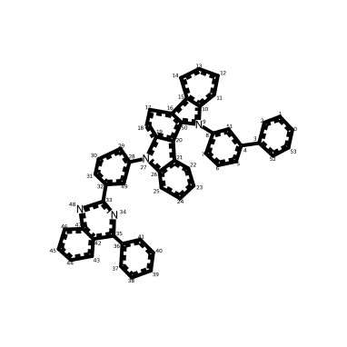 c1ccc(-c2cccc(-n3c4ccccc4c4ccc5c(c6ccccc6n5-c5cccc(-c6nc(-c7ccccc7)c7ccccc7n6)c5)c43)c2)cc1